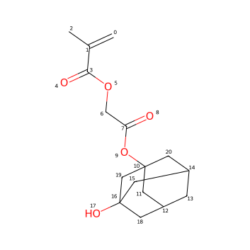 C=C(C)C(=O)OCC(=O)OC12CC3CC(CC(O)(C3)C1)C2